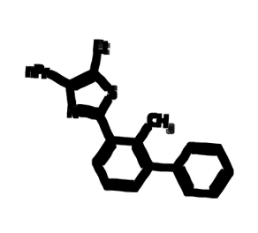 CCCc1nc(-c2cccc(-c3ccccc3)c2C)sc1CC